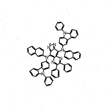 c1ccc(-c2nc3c(N(c4ccc5ccccc5c4)c4ccc5c(c4)c4ccccc4n5-c4ccccc4)c4nsnc4c(N(c4ccc5ccccc5c4)c4ccc5c(c4)c4ccccc4n5-c4ccccc4)c3nc2-c2ccccc2)cc1